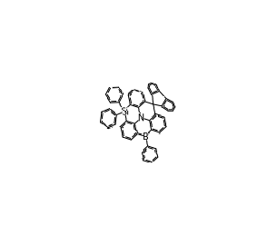 c1ccc(B2c3cccc4c3N3c5c2cccc5[Si](c2ccccc2)(c2ccccc2)c2cccc(c23)C42c3ccccc3-c3ccccc32)cc1